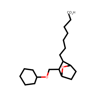 O=C(O)CCCCCCC1C2CCC(O2)C1COC1CCCCC1